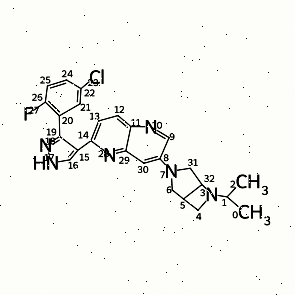 CC(C)N1CC2CN(c3cnc4ccc(-c5c[nH]nc5-c5cc(Cl)ccc5F)nc4c3)CC21